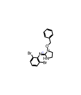 Brc1cccc(Br)c1/N=C1\NCCN1OCc1ccccc1